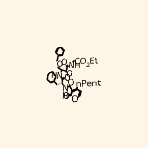 CCCCCc1ccoc(=O)c1C(=O)N[C@H](CC1CCCCC1)C(=O)NC(COCc1ccccc1)C(=O)C(=O)NCC(=O)OCC